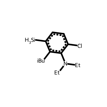 CCC(C)c1c([SiH3])ccc(Cl)c1N(CC)CC